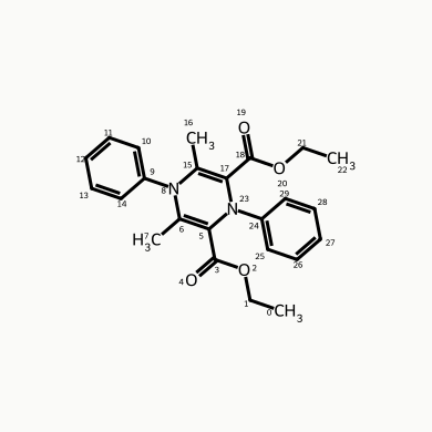 CCOC(=O)C1=C(C)N(c2ccccc2)C(C)=C(C(=O)OCC)N1c1ccccc1